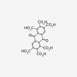 O=C(O)c1cc2c(c(C(=O)O)c1C(=O)O)C(=O)c1cc(C(=O)O)c(C(=O)O)c(C(=O)O)c1C2=O